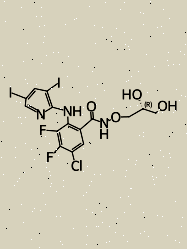 O=C(NOC[C@H](O)CO)c1cc(Cl)c(F)c(F)c1Nc1ncc(I)cc1I